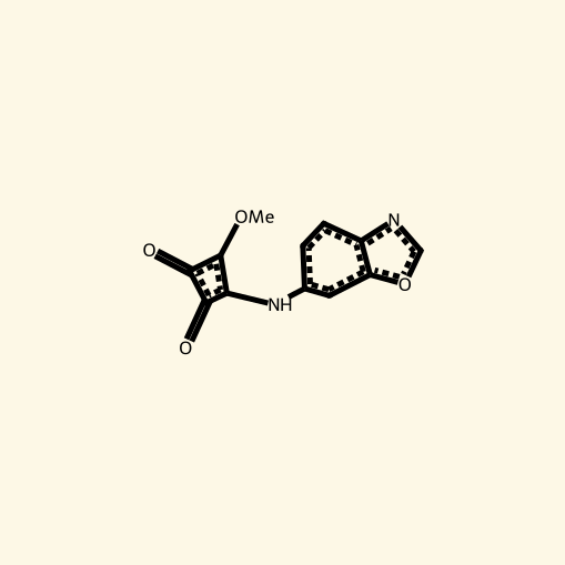 COc1c(Nc2ccc3ncoc3c2)c(=O)c1=O